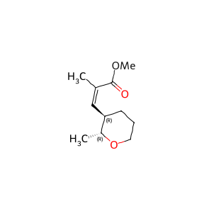 COC(=O)C(C)=C[C@H]1CCCO[C@@H]1C